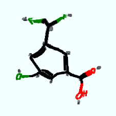 O=C(O)c1cc(Cl)cc(C(F)F)c1